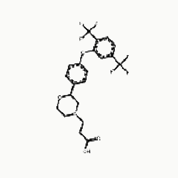 O=C(O)CCN1CCOC(c2ccc(Oc3cc(C(F)(F)F)ccc3C(F)(F)F)cc2)C1